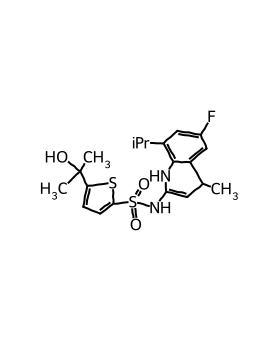 CC(C)c1cc(F)cc2c1NC(NS(=O)(=O)c1ccc(C(C)(C)O)s1)=CC2C